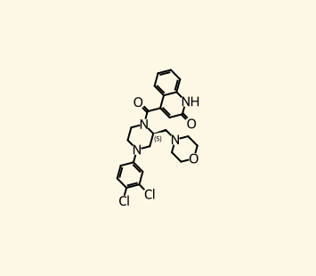 O=C(c1cc(=O)[nH]c2ccccc12)N1CCN(c2ccc(Cl)c(Cl)c2)C[C@@H]1CN1CCOCC1